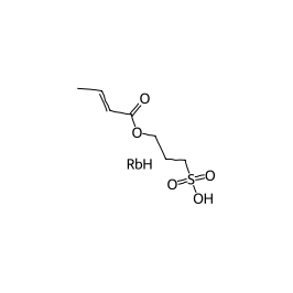 CC=CC(=O)OCCCS(=O)(=O)O.[RbH]